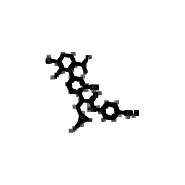 CC(F)C1=C(c2ccc(C(CC3CC3F)C(=O)Nc3ccc(C(=O)O)cc3)[n+](O)c2)C(F)=C(Cl)CC1